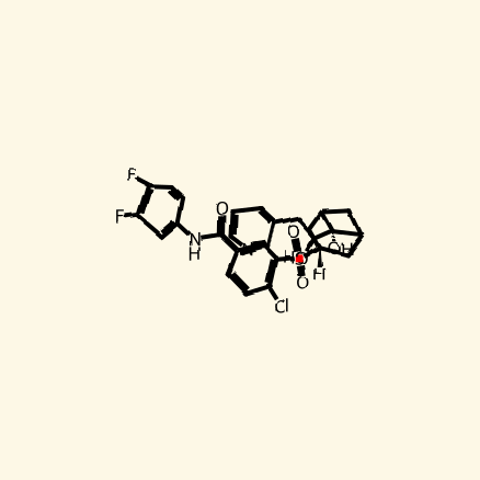 O=C(Nc1ccc(F)c(F)c1)c1ccc(Cl)c(S(=O)(=O)[C@H]2CC3CC(C2)[C@]3(O)C(O)Cc2cccnc2)c1